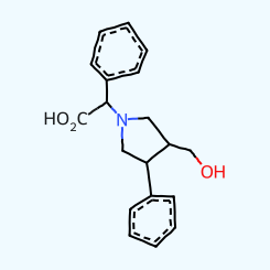 O=C(O)C(c1ccccc1)N1CC(CO)C(c2ccccc2)C1